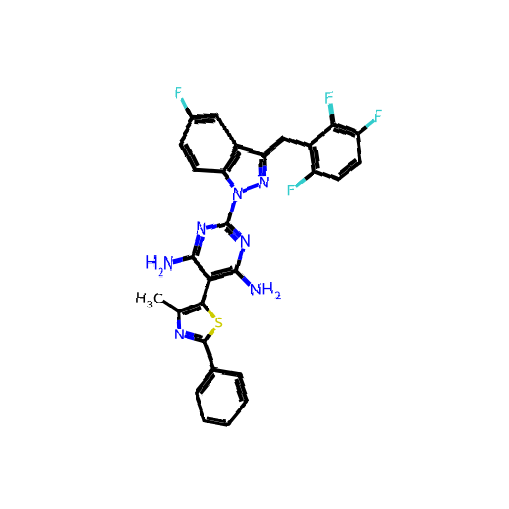 Cc1nc(-c2ccccc2)sc1-c1c(N)nc(-n2nc(Cc3c(F)ccc(F)c3F)c3cc(F)ccc32)nc1N